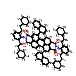 O=C1c2ccc3c4c(-c5cccc6ccccc56)cc5c6c(ccc(c7c(-c8cccc9ccccc89)cc(c2c37)C(=O)N1c1c(CCC2CCCCC2)cccc1CCC1CCCCC1)c64)C(=O)N(c1c(CCC2CCCCC2)cccc1CCC1CCCCC1)C5=O